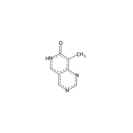 Cc1c(=O)[nH]cc2cncnc12